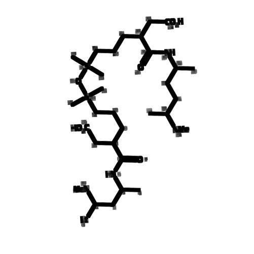 CCC(CC(C)NC(=O)C(CCC[Si](C)(C)O[Si](C)(C)CCCC(CC(=O)O)C(=O)NC(C)CCC(C)NC)CC(=O)O)NC